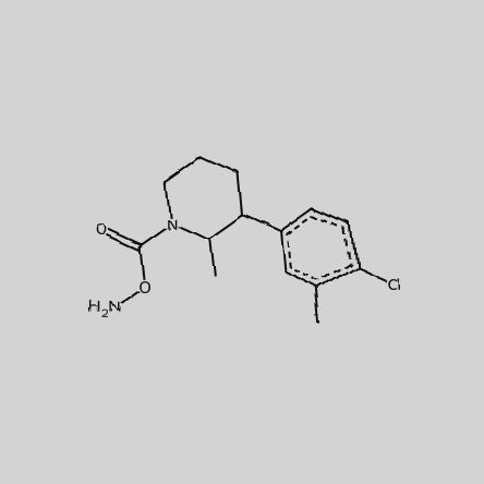 Cc1cc(C2CCCN(C(=O)ON)C2C)ccc1Cl